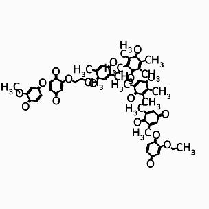 CC1=C(C)C(=O)C(C)=C(C)C1=O.CC1=CC(=O)C(C)=C(C)C1=O.CC1=CC(=O)C(C)=CC1=O.CC1=CC(=O)C=C(C)C1=O.CCCOC1=CC(=O)C=CC1=O.CCOC1=CC(=O)C=CC1=O.COC1=CC(=O)C=CC1=O